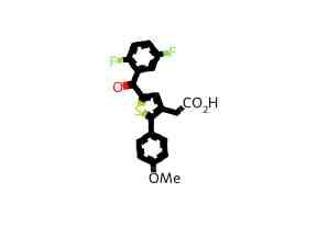 COc1ccc(-c2sc(C(=O)c3cc(F)ccc3F)cc2CC(=O)O)cc1